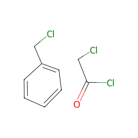 ClCc1ccccc1.O=C(Cl)CCl